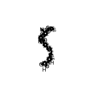 N#Cc1c(NS(=O)(=O)N2CC[C@@H](F)C2)ccc(F)c1Oc1ccc2ncn(-c3ccc(N4CCN(CC5CN(c6ccc(NC7CCC(=O)NC7=O)cc6F)C5)CC4)cc3)c(=O)c2c1